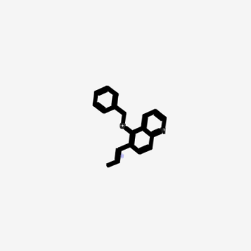 C/C=C/c1ccc2ncccc2c1OCc1ccccc1